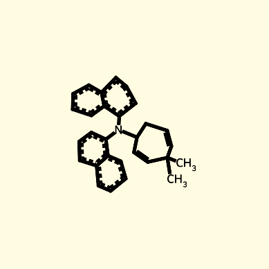 CC1(C)C=CCC(N(c2cccc3ccccc23)c2cccc3ccccc23)C=C1